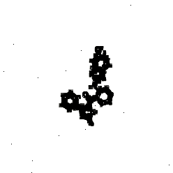 Cc1nc(C(=O)N2CCCC[C@H]2Cc2cn3cnc(C(F)(F)F)cc3n2)c(-c2ccccc2)s1